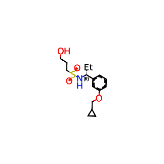 CC[C@@H](NS(=O)(=O)CCCO)c1cccc(OCC2CC2)c1